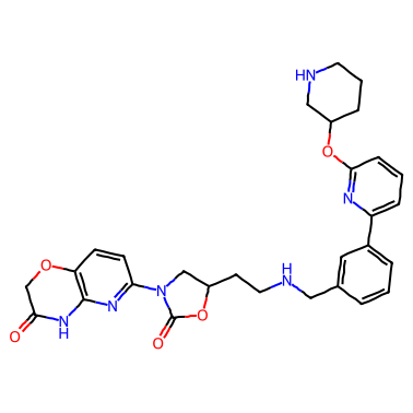 O=C1COc2ccc(N3CC(CCNCc4cccc(-c5cccc(OC6CCCNC6)n5)c4)OC3=O)nc2N1